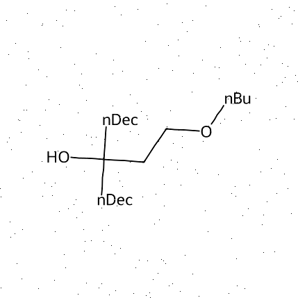 CCCCCCCCCCC(O)(CCCCCCCCCC)CCOCCCC